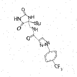 CC(C)(C)[C@]1(CNC(=O)c2cnn(-c3ccc(C(F)(F)F)cc3)n2)NC(=O)NC1=O